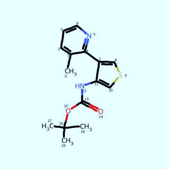 Cc1cccnc1-c1cscc1NC(=O)OC(C)(C)C